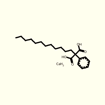 CCCCCCCCCCCCC(C(=O)O)(C(=O)O)c1ccccc1.[CaH2]